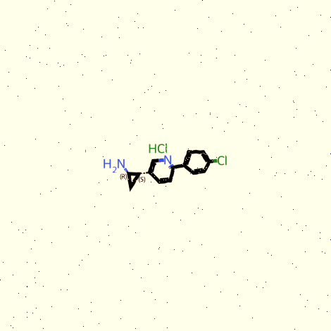 Cl.N[C@@H]1C[C@H]1c1ccc(-c2ccc(Cl)cc2)nc1